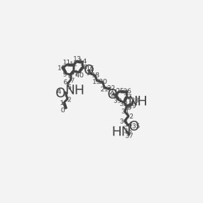 C=CCC(=O)NCCc1cccc2ccc(OCCCCCCOc3ccc4[nH]cc(CCCC(=O)NC)c4c3)cc12